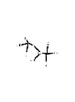 [O-][S+](SC(F)(F)F)C(F)(F)F